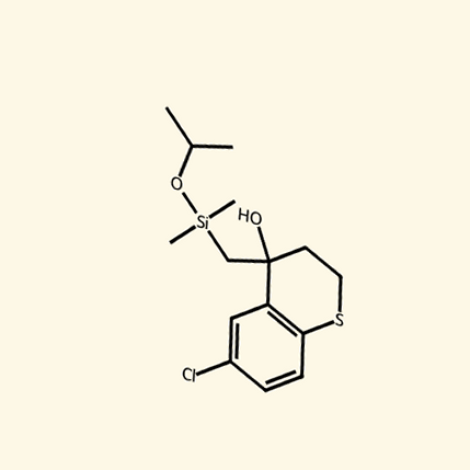 CC(C)O[Si](C)(C)CC1(O)CCSc2ccc(Cl)cc21